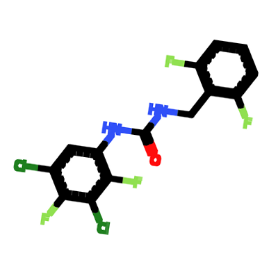 O=C(NCc1c(F)cccc1F)Nc1cc(Cl)c(F)c(Cl)c1F